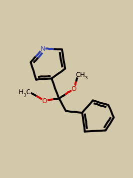 COC(Cc1ccccc1)(OC)c1ccncc1